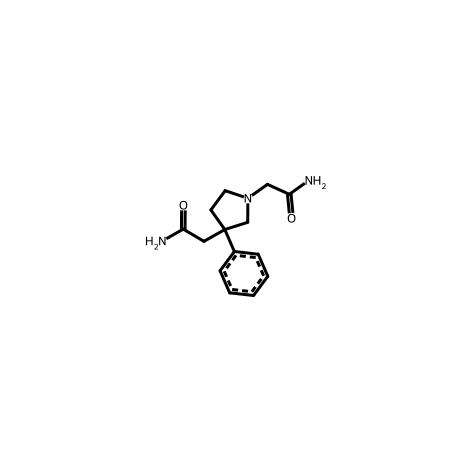 NC(=O)CN1CCC(CC(N)=O)(c2ccccc2)C1